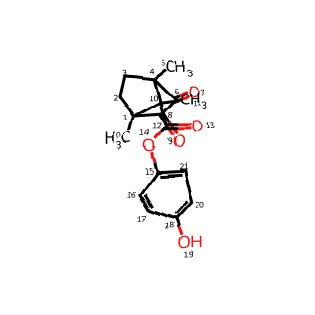 CC12CCC(C)(C(=O)C1=O)C2(C)C(=O)Oc1ccc(O)cc1